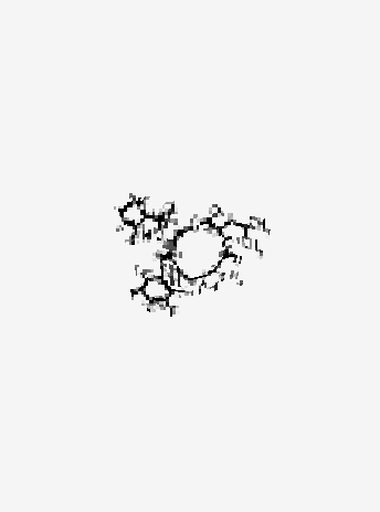 CC(C)CC1OC(=O)[C@H](C)[C@H](O)[C@H](Cc2c(F)c(F)c(F)c(F)c2F)NC(=O)[C@@H](NC(=O)c2ncccc2O)[C@@H](C)OC1=O